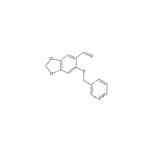 O=Cc1cc2c(cc1OCc1ccccc1)OCO2